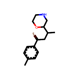 Cc1ccc(C(=S)CC(C)C2CNCCO2)cc1